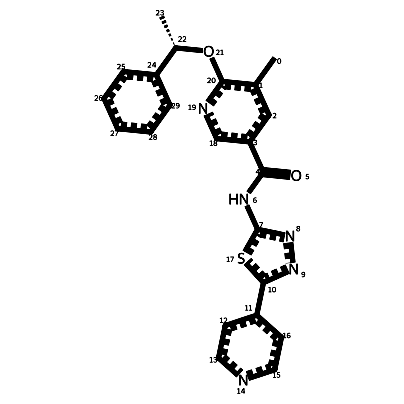 Cc1cc(C(=O)Nc2nnc(-c3ccncc3)s2)cnc1O[C@@H](C)c1ccccc1